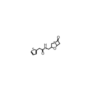 O=C(Cc1cccs1)NCC1CN2C(=O)CC2O1